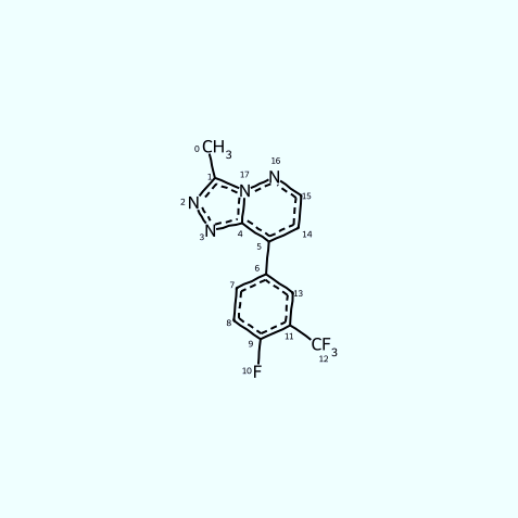 Cc1nnc2c(-c3ccc(F)c(C(F)(F)F)c3)ccnn12